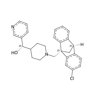 O[C@H](c1cccnc1)C1CCN(C[C@@]23C[C@@H](c4ccccc42)c2ccc(Cl)cc23)CC1